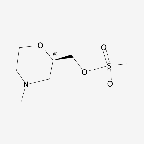 CN1CCO[C@@H](COS(C)(=O)=O)C1